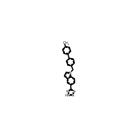 Cc1ccc(-c2ccc(Cn3ccc4cc(-c5nn[nH]n5)ccc43)cc2)cc1